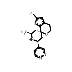 C[C@H]1C[C@@]2(C[C@@H](c3ccnnc3)N1)OCCc1cc(Cl)sc12